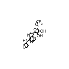 O[C@@H]1[C@H](O)[C@@H](COC(F)(F)F)O[C@H]1n1cnc2c(N[C@H]3CCOC3)ncnc21